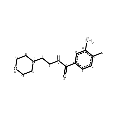 Cc1ccc(C(=O)NCCN2CCOCC2)cc1N